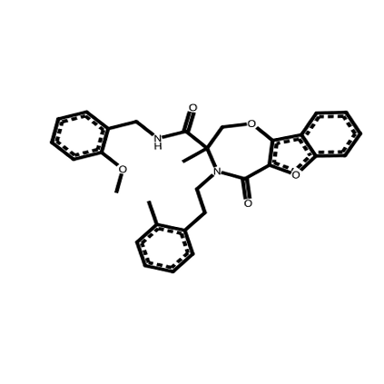 COc1ccccc1CNC(=O)C1(C)COc2c(oc3ccccc23)C(=O)N1CCc1ccccc1C